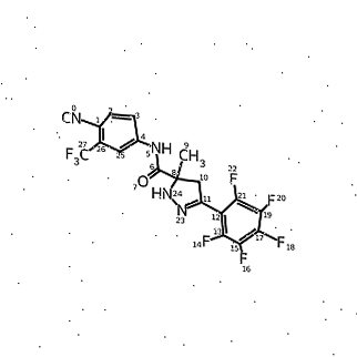 [C-]#[N+]c1ccc(NC(=O)C2(C)CC(c3c(F)c(F)c(F)c(F)c3F)=NN2)cc1C(F)(F)F